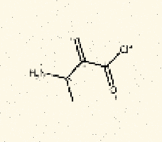 C=C(C(=O)Cl)C(C)N